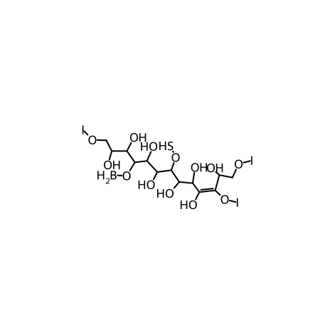 BOC(C(O)C(O)COI)C(O)C(O)C(OS)C(O)C(O)/C(O)=C(/OI)C(O)COI